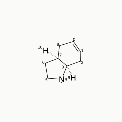 C1=CC[C@H]2[N]CC[C@H]2C1